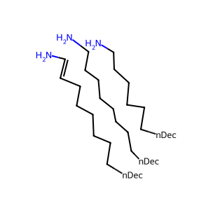 CCCCCCCCCCCCCCCCC=CN.CCCCCCCCCCCCCCCCCCN.CCCCCCCCCCCCCCCCN